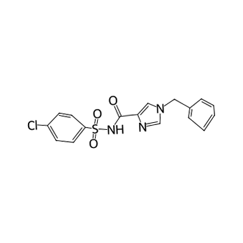 O=C(NS(=O)(=O)c1ccc(Cl)cc1)c1cn(Cc2ccccc2)cn1